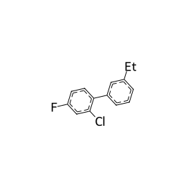 CCc1cccc(-c2ccc(F)cc2Cl)c1